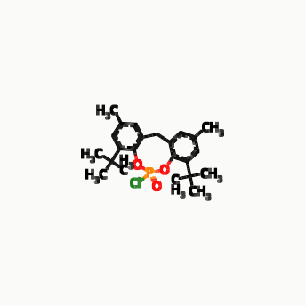 Cc1cc2c(c(C(C)(C)C)c1)OP(=O)(Cl)Oc1c(cc(C)cc1C(C)(C)C)C2